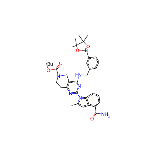 Cc1cc2c(C(N)=O)cccc2n1-c1nc2c(c(NCc3cccc(B4OC(C)(C)C(C)(C)O4)c3)n1)CN(C(=O)OC(C)(C)C)CC2